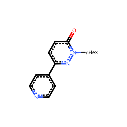 CCCCCCn1nc(-c2ccncc2)ccc1=O